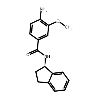 COc1cc(C(=O)N[C@@H]2CCc3ccccc32)ccc1N